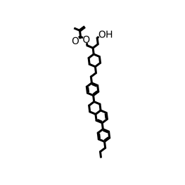 C=C(C)C(=O)OCC(CCO)C1CCC(CCc2ccc(C3CCC4C=C(c5ccc(CCC)cc5)C=CC4C3)cc2)CC1